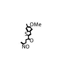 C=C(CCC(=O)c1cc2cc(OC)c(C)cc2s1)N=O